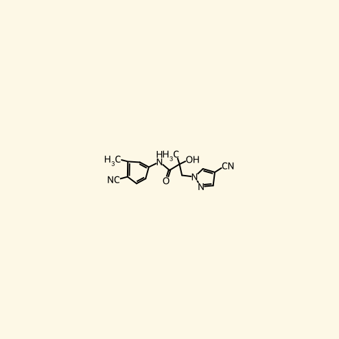 Cc1cc(NC(=O)C(C)(O)Cn2cc(C#N)cn2)ccc1C#N